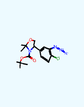 CC(C)(C)OC(=O)N1C(c2ccc(Cl)c(N=[N+]=[N-])c2)COC1(C)C